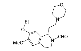 CCOc1cc2c(cc1OC)CCN(C=O)[C@H]2CCN1CCOCC1